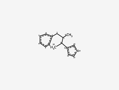 CC(Cc1ccccc1)C(C)n1ccnc1